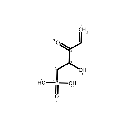 C=CC(=O)C(O)CP(=O)(O)O